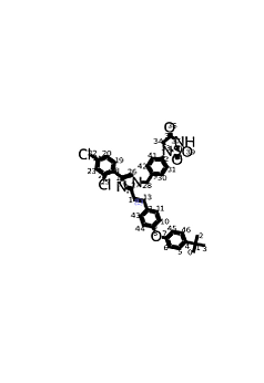 CC(C)(C)c1ccc(Oc2ccc(/C=C/c3nc(-c4ccc(Cl)cc4Cl)cn3Cc3ccc(N4CC(=O)NS4(=O)=O)cc3)cc2)cc1